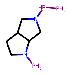 PPN1CC2CCN(P)C2C1